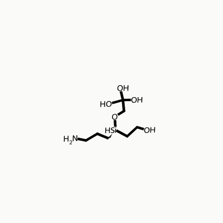 NCCC[Si@@H](CCO)OCC(O)(O)O